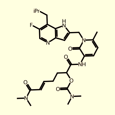 Cc1ccc(NC(=O)C(CC/C=C/C(=O)N(C)C)OC(=O)N(C)C)c(=O)n1Cc1cc2ncc(F)c(CC(C)C)c2[nH]1